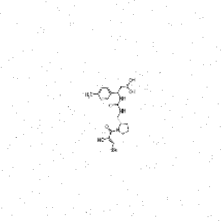 Cc1ccc([C@@H](CB(O)O)NC(=O)NC[C@@H]2CCCN2C(=O)C(C#N)=CC(C)(C)C)cc1